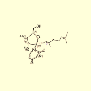 CC(C)=CCC/C(C)=C/C[C@@]1(n2ccc(=O)[nH]c2=O)O[C@H](CO)[C@@H](O)[C@H]1O